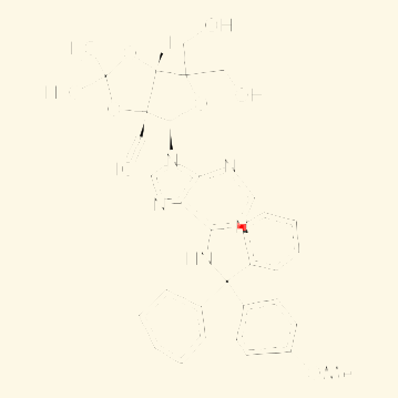 C#C[C@@]12OC(C)(C)O[C@@H]1C(CO)(CO)O[C@H]2n1cnc2c(NC(c3ccccc3)(c3ccccc3)c3ccc(OC)cc3)ncnc21